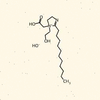 CCCCCCCCCCCC1=NCC[N+]1(CCO)CC(=O)O.[OH-]